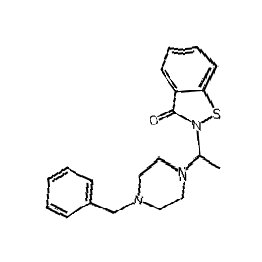 CC(N1CCN(Cc2ccccc2)CC1)n1sc2ccccc2c1=O